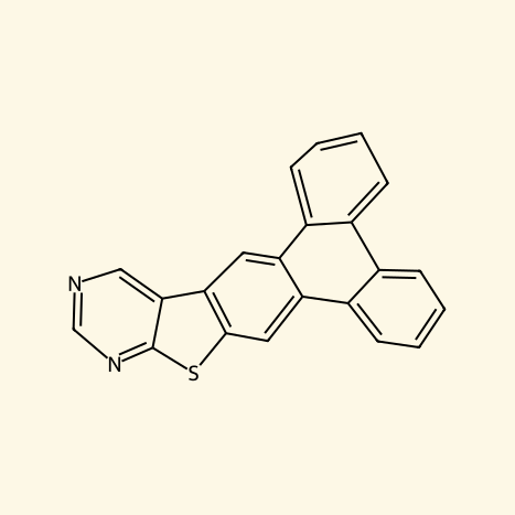 c1ccc2c(c1)c1ccccc1c1cc3c(cc21)sc1ncncc13